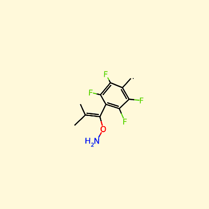 [CH2]c1c(F)c(F)c(C(ON)=C(C)C)c(F)c1F